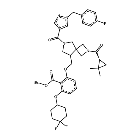 CC(C)(C)OC(=O)c1c(OCC2CN(C(=O)c3cnn(Cc4ccc(F)cc4)c3)CC23CN(C(=O)[C@H]2CC2(C)C)C3)cccc1OC1CCC(F)(F)CC1